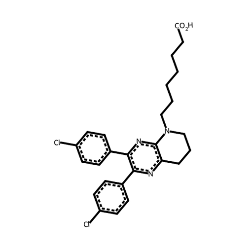 O=C(O)CCCCCCN1CCCc2nc(-c3ccc(Cl)cc3)c(-c3ccc(Cl)cc3)nc21